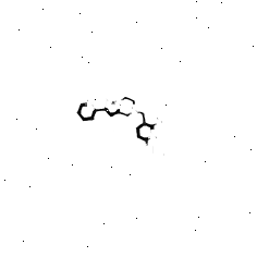 Cc1ccc(CN2CCn3nc(-c4ncccc4C)cc3C2)c(N)n1